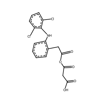 O=C(O)CC(=O)OC(=O)Cc1ccccc1Nc1c(Cl)cccc1Cl